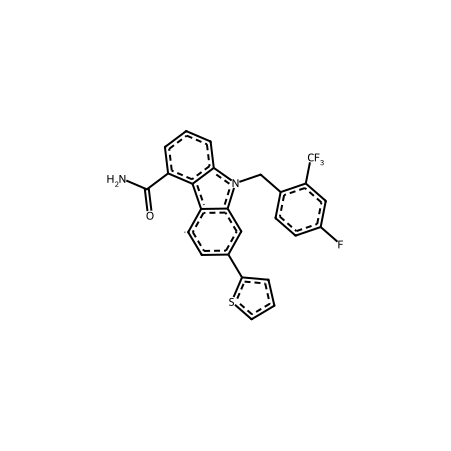 NC(=O)c1cccc2c1c1[c]cc(-c3cccs3)cc1n2Cc1ccc(F)cc1C(F)(F)F